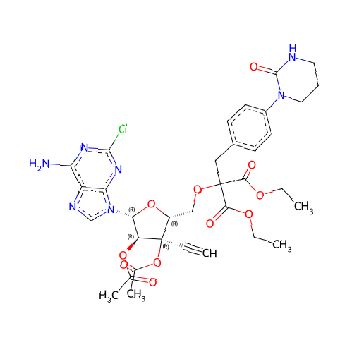 C#C[C@@]1(OC(C)=O)[C@@H](COC(Cc2ccc(N3CCCNC3=O)cc2)(C(=O)OCC)C(=O)OCC)O[C@@H](n2cnc3c(N)nc(Cl)nc32)[C@@H]1OC(C)=O